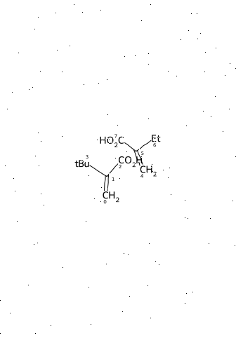 C=C(C(=O)O)C(C)(C)C.C=C(CC)C(=O)O